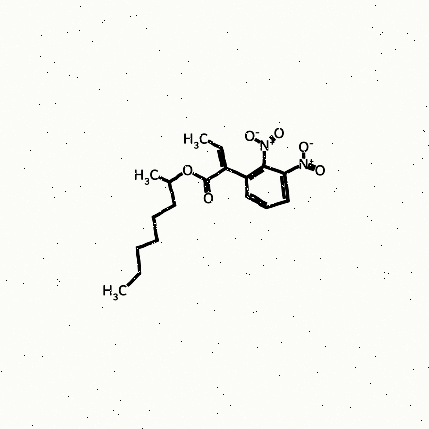 CC=C(C(=O)OC(C)CCCCCC)c1cccc([N+](=O)[O-])c1[N+](=O)[O-]